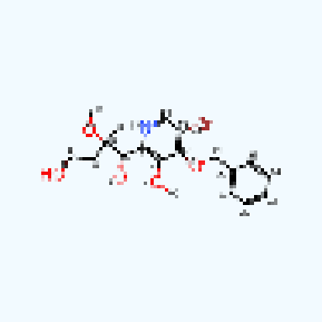 COc1c(C(=O)C(C)(CCO)OC)ncc(Br)c1OCc1ccccc1